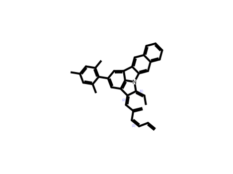 C=C/C=C\C(=C)/C=c1\c(=C/C)n2c3cc4ccccc4cc3c3cc(-c4c(C)cc(C)cc4C)cc1c32